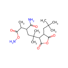 CC(C(=O)ON)C(CC(C)(C)C1C(=O)OC(=O)C1CC(C)(C)C)C(N)=O